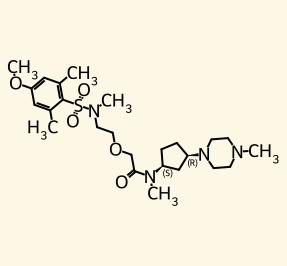 COc1cc(C)c(S(=O)(=O)N(C)CCOCC(=O)N(C)[C@H]2CC[C@@H](N3CCN(C)CC3)C2)c(C)c1